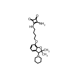 CC1(C)Oc2c(OCCCCNc3c(N)c(=O)c3=O)cccc2C1N1CCCCC1